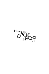 Br.C#CCN(C=CC1N(CC)c2cc(Cl)c(Cl)cc2N1CC)c1ccccc1